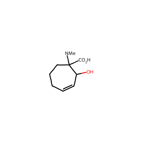 CNC1(C(=O)O)CCCC=CC1O